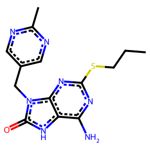 CCCSc1nc(N)c2[nH]c(=O)n(Cc3cnc(C)nc3)c2n1